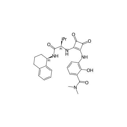 CC(C)[C@@H](Nc1c(Nc2cccc(C(=O)N(C)C)c2O)c(=O)c1=O)C(=O)N[C@@H]1CCCc2ccccc21